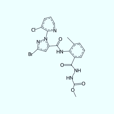 COC(=O)NNC(=O)c1cccc(C)c1NC(=O)c1cc(Br)nn1-c1ncccc1Cl